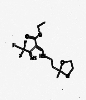 CCOC(=O)/C(=C/NCCC1(C)OCCO1)C(=N)C(F)(F)F